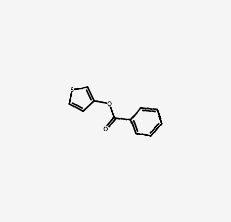 O=C(Oc1ccsc1)c1ccccc1